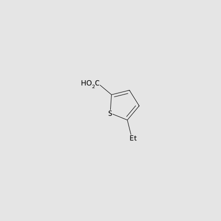 [CH2]Cc1ccc(C(=O)O)s1